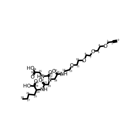 C#CCOCCOCCOCCOCCNC(=O)CN(CC(=O)NC(CCCC)C(=O)O)C(=O)NCC(=O)O